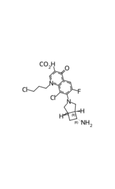 N[C@@H]1C[C@@H]2CN(c3c(F)cc4c(=O)c(C(=O)O)cn(CCCCl)c4c3Cl)C[C@@H]21